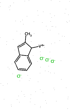 CC1=Cc2ccccc2[CH]1[V+4].[Cl-].[Cl-].[Cl-].[Cl-]